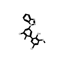 CSc1cc(Cl)cc(-c2cc(-n3nnc4ccccc43)cc(Cl)c2C)c1O